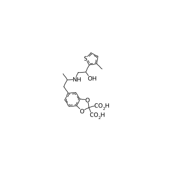 Cc1ccsc1C(O)CNC(C)Cc1ccc2c(c1)OC(C(=O)O)(C(=O)O)O2